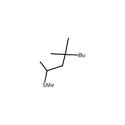 CCC(C)C(C)(C)CC(C)SC